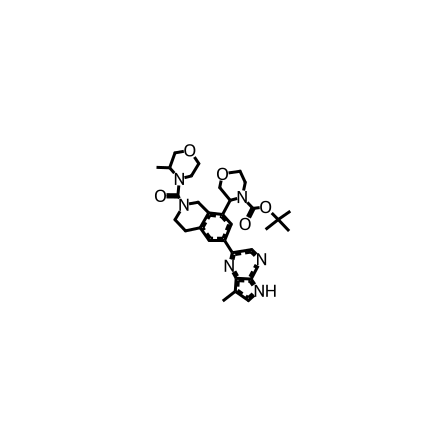 Cc1c[nH]c2ncc(-c3cc4c(c(C5COCCN5C(=O)OC(C)(C)C)c3)CN(C(=O)N3CCOCC3C)CC4)nc12